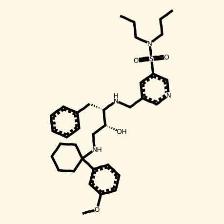 CCCN(CCC)S(=O)(=O)c1cncc(CN[C@@H](Cc2ccccc2)[C@H](O)CNC2(c3cccc(OC)c3)CCCCC2)c1